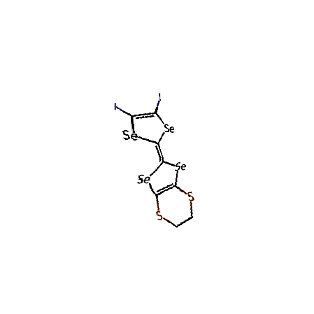 IC1=C(I)[Se]C(=C2[Se]C3=C(SCCS3)[Se]2)[Se]1